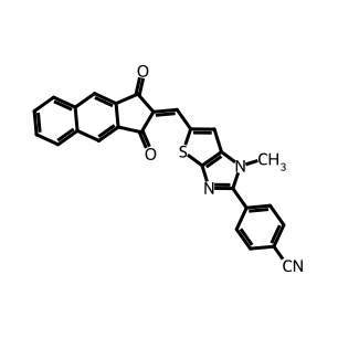 Cn1c(-c2ccc(C#N)cc2)nc2sc(C=C3C(=O)c4cc5ccccc5cc4C3=O)cc21